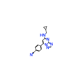 N#Cc1ccc(-c2cc(NCC3CC3)nc3ncnn23)cc1